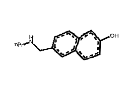 CCCNCc1ccc2cc(O)ccc2c1